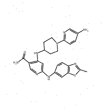 Cc1nc2ccc(Nc3cc(NC4CCN(c5ccc(N)cn5)CC4)c(C(N)=O)cn3)cc2s1